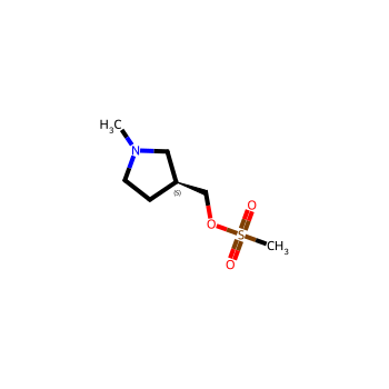 CN1CC[C@H](COS(C)(=O)=O)C1